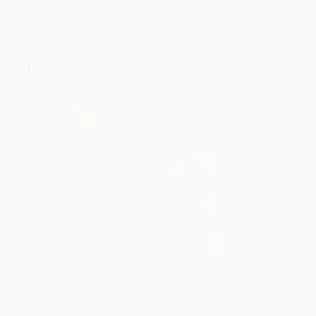 C=CCOc1ccc(CC(=O)OC2OC(=O)c3ccccc32)cc1Cl